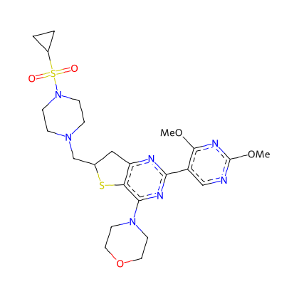 COc1ncc(-c2nc3c(c(N4CCOCC4)n2)SC(CN2CCN(S(=O)(=O)C4CC4)CC2)C3)c(OC)n1